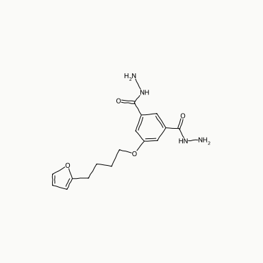 NNC(=O)c1cc(OCCCCc2ccco2)cc(C(=O)NN)c1